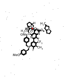 C=C1CN2CCC[C@@]2(COc2nc3c4c(nc(-c5cc(N(Cc6ccc(OC)cc6)Cc6ccc(OC)cc6)c(F)c(C)c5C(F)(F)F)c(F)c4n2)O[C@@H](C)[C@@H]2[C@@H]4CC[C@H](CN32)N4C(=O)OC(C)(C)C)C1